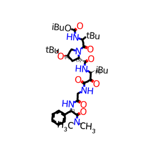 CC[C@@H](C)C(NC(=O)[C@@H]1C[C@@H](OC(C)(C)C)CN1C(=O)C(NC(=O)OCC(C)C)C(C)(C)C)C(=O)C(=O)NCC(=O)N[C@H](C(=O)N(C)C)c1ccccc1